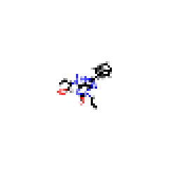 CCCn1c(=O)nc(NC(CC)CO)c2[nH]c(C34CC5CC(CC3C5)C4)nc21